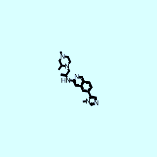 C=C(CN1CCN(C)CC1C)Nc1cc2cc(-c3cncn3C)ccc2cn1